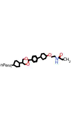 C=CC(=O)NCCOC1CCC(c2ccc(C3OCC(C4CCC(CCCCC)CC4)CO3)cc2)CC1